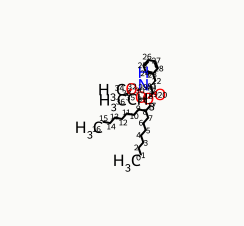 CCCCCCCCC(CCCCCCCC)COC(=O)[C@H](Cc1ccccc1)NC(=O)OC(C)(C)C